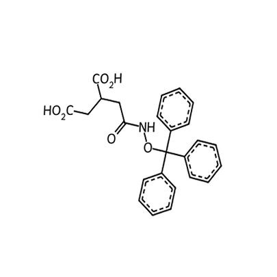 O=C(O)CC(CC(=O)NOC(c1ccccc1)(c1ccccc1)c1ccccc1)C(=O)O